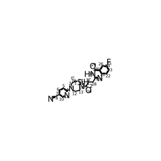 C[C@H]1CN(c2ccc(C#N)cn2)CCN(C(=O)CCc2nc3ccc(F)cc3c(=O)[nH]2)[SiH2]1